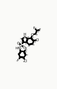 O=S(=O)(Nc1cc(F)c(Cl)cc1F)c1c[nH]c2c(OCC(F)F)c(Cl)ccc12